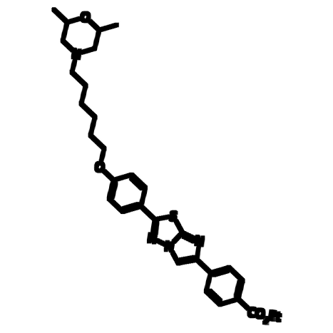 CCOC(=O)c1ccc(-c2cn3nc(-c4ccc(OCCCCCCN5CC(C)OC(C)C5)cc4)sc3n2)cc1